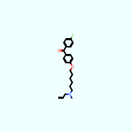 C=CCN(C)CCCCCCOc1ccc(C(=O)c2ccc(F)cc2)cc1